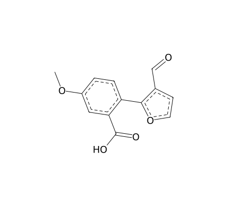 COc1ccc(-c2occc2C=O)c(C(=O)O)c1